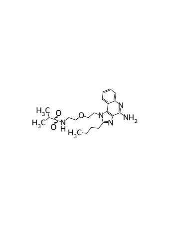 CCCCc1nc2c(N)nc3ccccc3c2n1CCOCCNS(=O)(=O)C(C)C